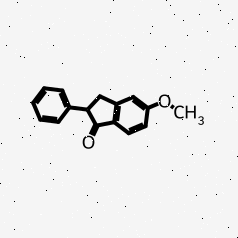 COc1ccc2c(c1)CC(c1ccccc1)C2=O